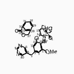 COc1cc(Cc2cncnc2)cc(OC(CC=O)NS(C)(=O)=O)c1Br.O=C1OCc2cccc1c2